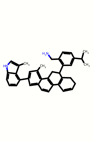 Cc1cc(-c2cccc3[nH]cc(C)c23)cc2ccc3c(c12)CC(c1cc(C(C)C)ccc1CN)C1=C3C=CCC1